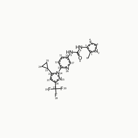 Cc1ncsc1NC(=O)Nc1ccc(-n2nc(C(F)(F)F)cc2C2CC2)nc1